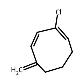 C=C1/C=C\C(Cl)=C/CCC1